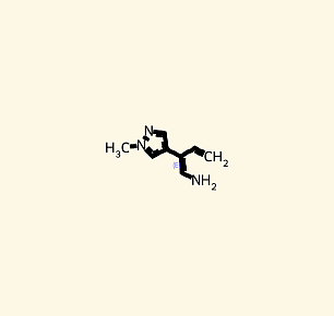 C=C/C(=C\N)c1cnn(C)c1